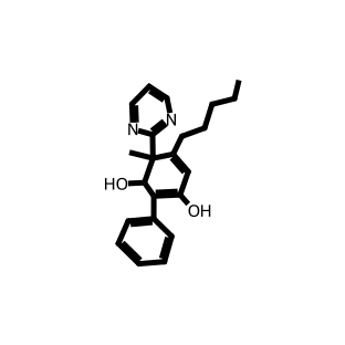 CCCCCC1=CC(O)=C(c2ccccc2)C(O)C1(C)c1ncccn1